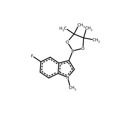 Cn1cc(B2OC(C)(C)C(C)(C)O2)c2cc(F)ccc21